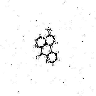 CC(=O)c1cnc2c3c(nccc13)C(=O)c1ncccc1-2